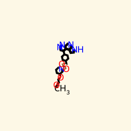 COCCOC1CCCN(S(=O)(=O)CC2CCC(c3cnnc4cnc5[nH]ccc5c34)CC2)C1